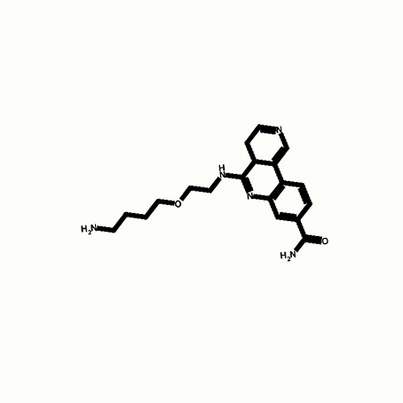 NCCCCOCCNC1=Nc2cc(C(N)=O)ccc2C2=CN=CCC21